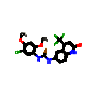 COc1cc(OC)c(NC(=S)Nc2ccc3[nH]c(=O)cc(C(F)(F)F)c3c2)cc1Cl